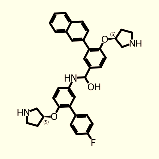 OC(Nc1ccc(O[C@H]2CCNC2)c(-c2ccc(F)cc2)c1)c1ccc(O[C@H]2CCNC2)c(-c2ccc3ccccc3c2)c1